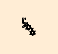 C#CCNC(=O)N1CCC(Cc2ccccc2)CC1